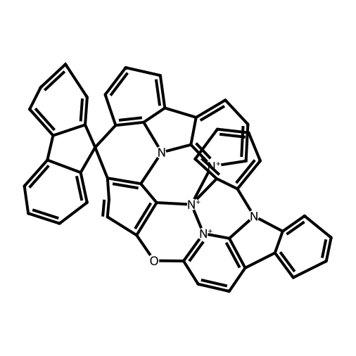 c1ccc2c(c1)-c1ccccc1C21c2ccc3c4c2-n2c5c1cccc5c1ccc[n+](c12)[N+]41c2ccccc2-n2c4ccccc4c4ccc([n+]1c42)O3